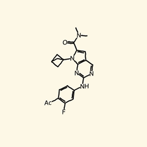 CC(=O)c1ccc(Nc2ncc3cc(C(=O)N(C)C)n(C45CC(C4)C5)c3n2)cc1F